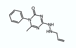 C=CCNNc1nc(C)n(-c2ccccc2)c(=O)n1